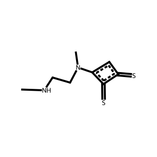 CNCCN(C)c1cc(=S)c1=S